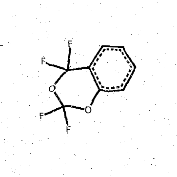 FC1(F)Oc2ccc[c]c2C(F)(F)O1